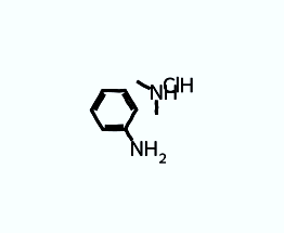 CNC.Cl.Nc1ccccc1